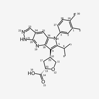 Cc1cc(-n2c(C(C)C)c([C@H]3CO[C@H](C(=O)O)C3)c3nc4[nH]ncc4cc32)ccc1F